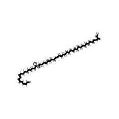 CC/C=C\C/C=C\C/C=C\CCCCCCCC(=O)OCCCCCCCCCCCCCCCCCCCCCCCCCCCCCCC(C)CC